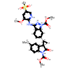 CCOc1cc(S(=O)(=O)CC)cnc1Nc1nn(C(=O)OC(C)(C)C)c2cc([C@@H]3C[C@@]34C(=O)N(C(=O)OC(C)(C)C)c3ccc(OC)cc34)ccc12